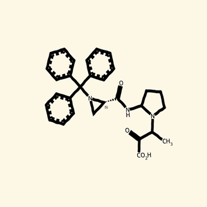 CC(C(=O)C(=O)O)N1CCCC1NC(=O)[C@@H]1CN1C(c1ccccc1)(c1ccccc1)c1ccccc1